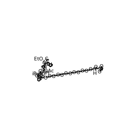 CCOC(=O)[C@@H](C)C[C@H](Cc1ccccc1)NC(=O)c1csc([C@@H](C[C@H](C(C)C)C(C)C(=O)[C@@H](NC(=O)[C@H]2CCCCN2C(=O)CCOCCOCCOCCOCCOCCOCCOCCOCCOCCOCCOCCOCCNC(=O)CCN2C(=O)C=CC2=O)[C@@H](C)CC)OC(C)=O)n1